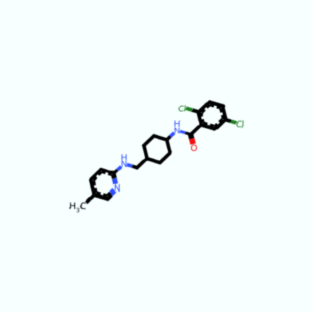 Cc1ccc(NCC2CCC(NC(=O)c3cc(Cl)ccc3Cl)CC2)nc1